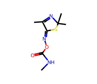 CNC(=O)ON=C1SC(C)(C)N=C1C